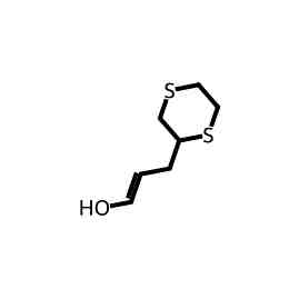 OC=CCC1CSCCS1